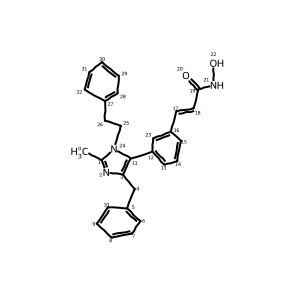 Cc1nc(Cc2ccccc2)c(-c2cccc(/C=C/C(=O)NO)c2)n1CCc1ccccc1